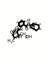 C[C@@H]1CS(=O)(=O)C(c2nc3c(C(=O)NC4CC5CCCC(C4)N5C)cccc3o2)[C@@H](C)N1.Cl